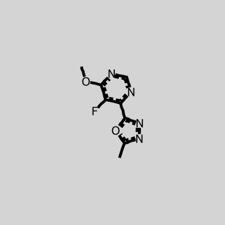 COc1ncnc(-c2nnc(C)o2)c1F